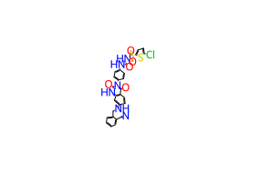 N#Cc1ccccc1CNc1ccc2c(=O)n(-c3ccc(NC(=O)NS(=O)(=O)c4ccc(Cl)s4)cc3)c(=O)[nH]c2c1